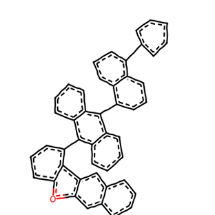 c1ccc(-c2cccc3c(-c4c5ccccc5c(-c5cccc6oc7cc8ccccc8cc7c56)c5ccccc45)cccc23)cc1